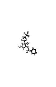 CN1CC(OC(=O)c2ccncc2)[N+]([O-])(c2nnc(C(F)(F)F)s2)C1